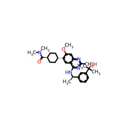 COc1cc2nc(C)nc(N[C@H](C)c3cccc(C(C)(C)O)c3)c2cc1[C@H]1CC[C@H](C(=O)N(C)C)CC1